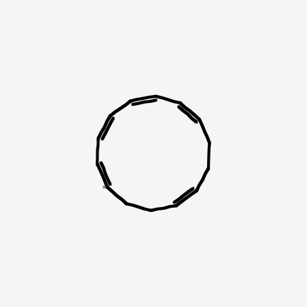 [C]1=CC=CC=CC=CCCC=CCC1